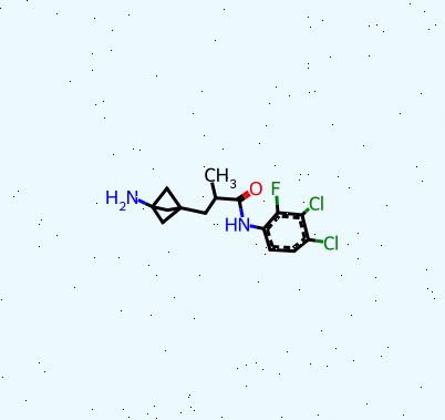 CC(CC12CC(N)(C1)C2)C(=O)Nc1ccc(Cl)c(Cl)c1F